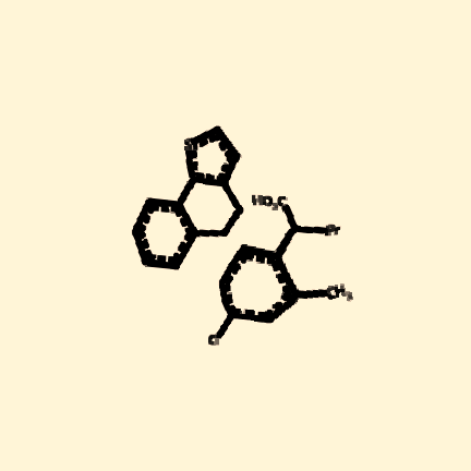 Cc1cc(Cl)ccc1C(C(=O)O)C(C)C.c1ccc2c(c1)CCc1ccsc1-2